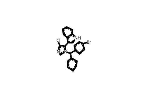 Clc1ncn(C(c2ccccc2)c2ccc(Br)cc2)c1-c1c[nH]c2ccccc12